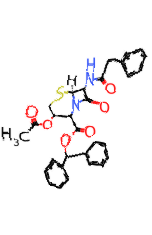 CC(=O)OC1CS[C@H]2[C@H](NC(=O)Cc3ccccc3)C(=O)N2C1C(=O)OC(c1ccccc1)c1ccccc1